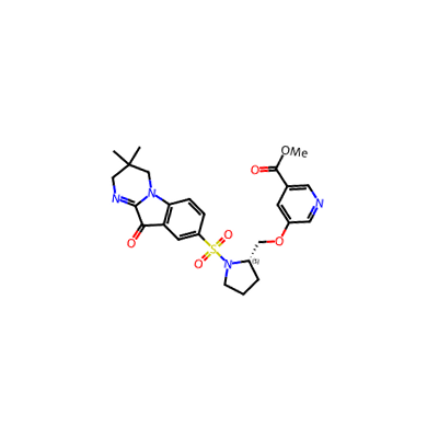 COC(=O)c1cncc(OC[C@@H]2CCCN2S(=O)(=O)c2ccc3c(c2)C(=O)C2=NCC(C)(C)CN23)c1